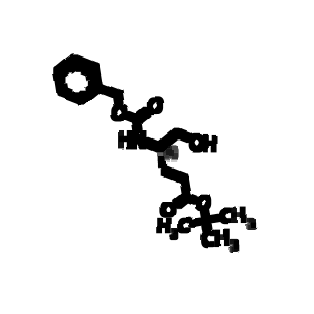 CC(C)(C)OC(=O)CC[C@@H](CO)NC(=O)OCc1ccccc1